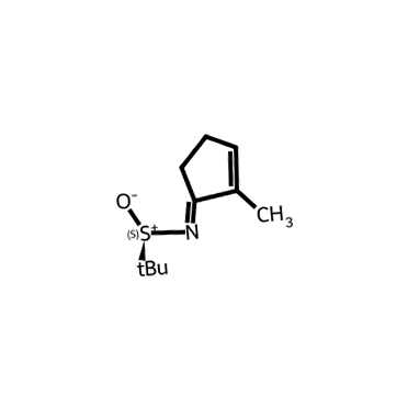 CC1=CCCC1=N[S@+]([O-])C(C)(C)C